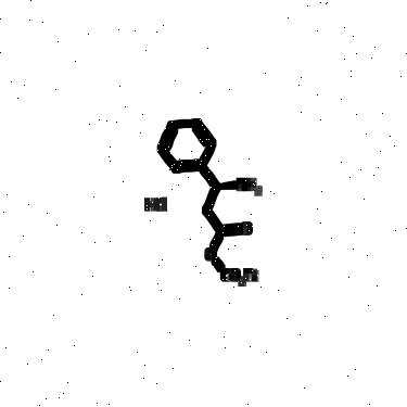 CCOC(=O)OC(=O)C[C@H](N)c1ccccc1.Cl